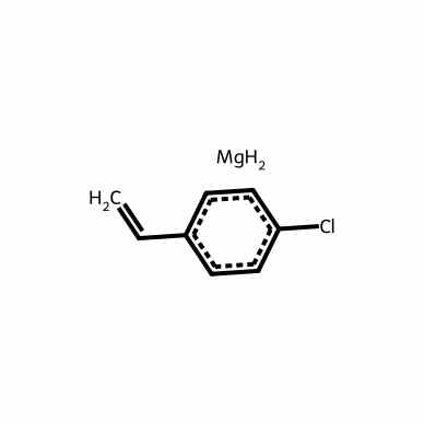 C=Cc1ccc(Cl)cc1.[MgH2]